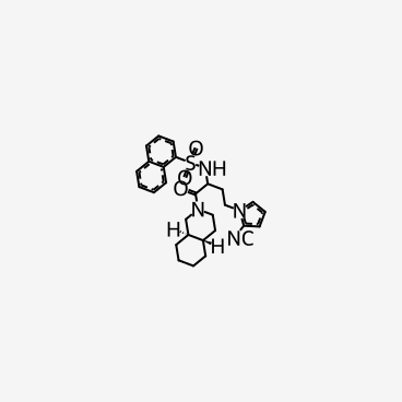 N#Cc1cccn1CCC(NS(=O)(=O)c1cccc2ccccc12)C(=O)N1CC[C@@H]2CCCC[C@H]2C1